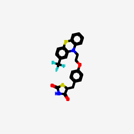 O=C1NC(=O)C(Cc2ccc(OCCN3c4ccccc4Sc4ccc(C(F)(F)F)cc43)cc2)S1